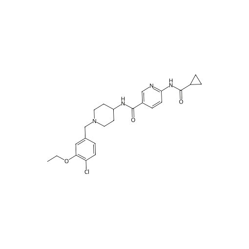 CCOc1cc(CN2CCC(NC(=O)c3ccc(NC(=O)C4CC4)nc3)CC2)ccc1Cl